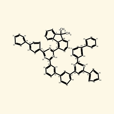 CC1(C)c2ccccc2-c2c(-c3nc(-c4ccc(-c5ccccc5)cc4)nc(-c4cccc(-c5cccc(-c6cc(-c7ccccc7)nc(-c7cccc(-c8ccccc8)c7)n6)c5)c4)n3)cccc21